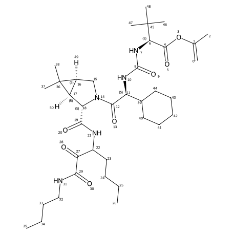 C=C(C)OC(=O)[C@@H](NC(=O)N[C@H](C(=O)N1C[C@H]2[C@@H]([C@H]1C(=O)NC(CCCC)C(=O)C(=O)NCCCC)C2(C)C)C1CCCCC1)C(C)(C)C